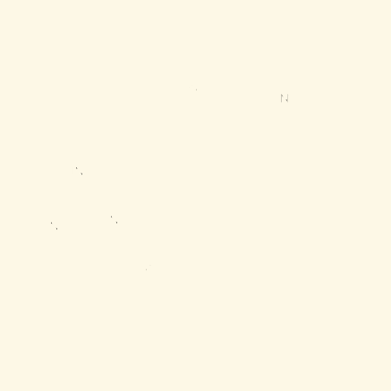 Cc1cnc(Nc2ccc(OCCN3CCCC3)cc2)nc1Cl